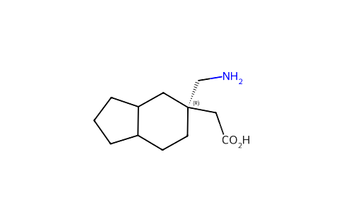 NC[C@]1(CC(=O)O)CCC2CCCC2C1